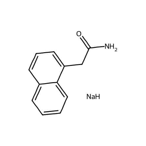 NC(=O)Cc1cccc2ccccc12.[NaH]